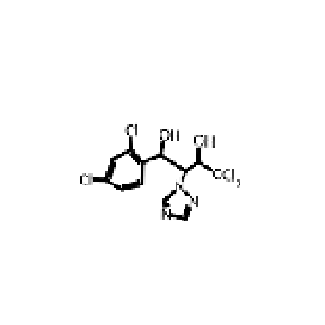 OC(c1ccc(Cl)cc1Cl)C(C(O)C(Cl)(Cl)Cl)n1cncn1